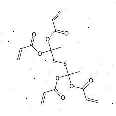 C=CC(=O)OC(C)(OC(=O)C=C)SSC(C)(OC(=O)C=C)OC(=O)C=C